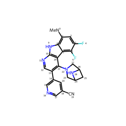 CNc1cc(F)c(F)c2c1[nH]c1ncc(-c3cncc(C#N)c3)c(N3CC4CC(C3)N4)c12